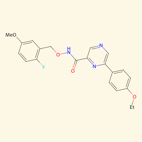 CCOc1ccc(-c2cncc(C(=O)NOCc3cc(OC)ccc3F)n2)cc1